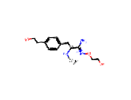 N/C(=N\OCCO)[C@H](Cc1ccc(CCO)cc1)NC(=O)O